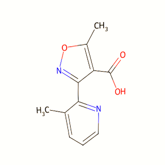 Cc1cccnc1-c1noc(C)c1C(=O)O